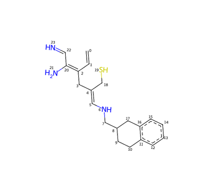 C=C/C(C/C(=C/NCC1CCc2ccccc2C1)CS)=C(/N)C=N